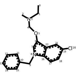 CCN(C)COc1cn(Cc2ccccc2)c2ccc(Cl)cc12